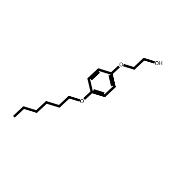 CCCCCCOc1ccc(OCCO)cc1